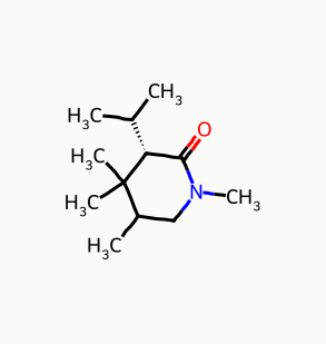 CC(C)[C@@H]1C(=O)N(C)CC(C)C1(C)C